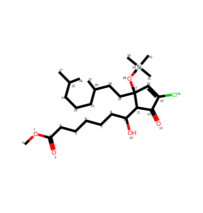 COC(=O)CCCCCC(O)C1C(=O)C(Cl)=CC1(CCC(C)CCCC(C)C)O[Si](C)(C)C